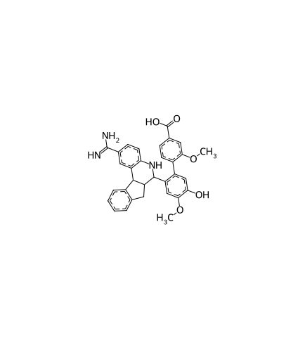 COc1cc(C2Nc3ccc(C(=N)N)cc3C3c4ccccc4CC23)c(-c2ccc(C(=O)O)cc2OC)cc1O